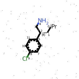 CC(C)C[C@@H](CN)c1ccc(Cl)cc1